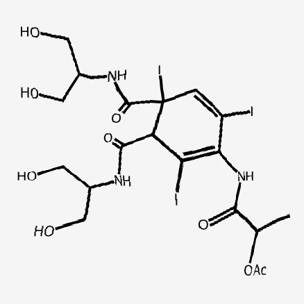 CC(=O)OC(C)C(=O)NC1=C(I)C(C(=O)NC(CO)CO)C(I)(C(=O)NC(CO)CO)C=C1I